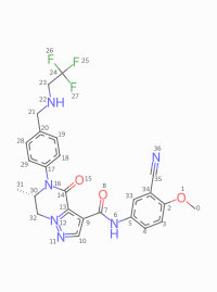 COc1ccc(NC(=O)c2cnn3c2C(=O)N(c2ccc(CNCC(F)(F)F)cc2)[C@@H](C)C3)cc1C#N